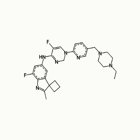 CCN1CCN(Cc2ccc(N3C=C(F)C(Nc4cc(F)c5c(c4)C4(CCC4)C(C)=N5)=NC3)nc2)CC1